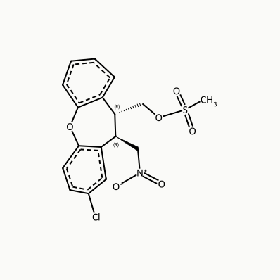 CS(=O)(=O)OC[C@H]1c2ccccc2Oc2ccc(Cl)cc2[C@@H]1C[N+](=O)[O-]